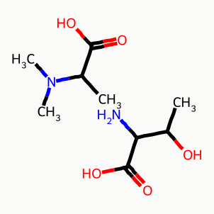 CC(C(=O)O)N(C)C.CC(O)C(N)C(=O)O